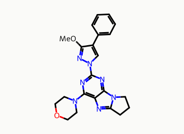 COc1nn(-c2nc(N3CCOCC3)c3nc4n(c3n2)CCC4)cc1-c1ccccc1